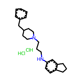 Cl.Cl.c1ccc(CC2CCN(CCCNc3ccc4c(c3)CCC4)CC2)cc1